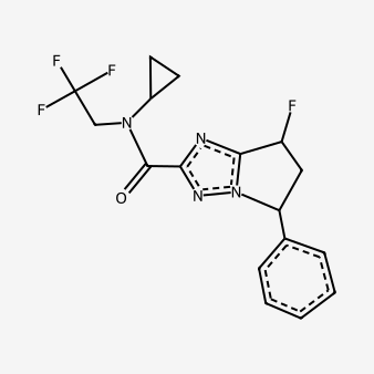 O=C(c1nc2n(n1)C(c1ccccc1)CC2F)N(CC(F)(F)F)C1CC1